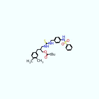 Cc1ccc(CC(CNC(=S)NCc2ccc(NS(=O)(=O)c3ccccc3)cc2)COC(=O)C(C)(C)C)cc1C